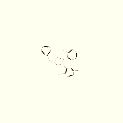 Oc1ccc(Cl)cc1C1CN(Cc2ccccc2)C[C@@H]1c1ccccc1Br